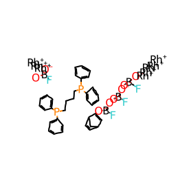 C1=CC2C=CC1C2.[O-]B([O-])F.[O-]B([O-])F.[O-]B([O-])F.[O-]B([O-])F.[Rh+].[Rh+].[Rh+].[Rh+].[Rh+].[Rh+].[Rh+].[Rh+].c1ccc(P(CCCCP(c2ccccc2)c2ccccc2)c2ccccc2)cc1